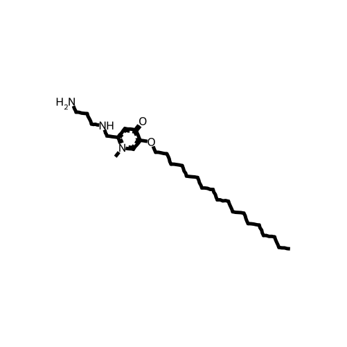 CCCCCCCCCCCCCCCCCCOc1cn(C)c(CNCCCN)cc1=O